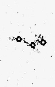 Cc1ccc(OCCOc2cc(C)cc(OS(=O)(=O)c3ccccc3S(C)(=O)=O)c2)cc1